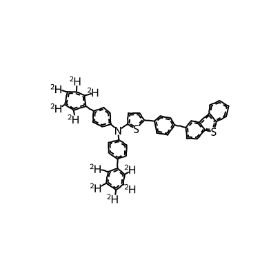 [2H]c1c([2H])c([2H])c(-c2ccc(N(c3ccc(-c4c([2H])c([2H])c([2H])c([2H])c4[2H])cc3)c3ccc(-c4ccc(-c5ccc6sc7ccccc7c6c5)cc4)s3)cc2)c([2H])c1[2H]